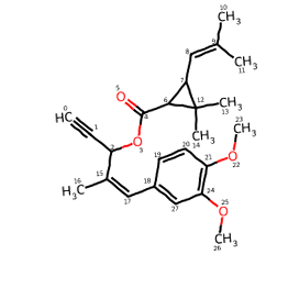 C#CC(OC(=O)C1C(C=C(C)C)C1(C)C)C(C)=Cc1ccc(OC)c(OC)c1